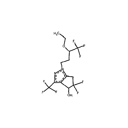 CCOC(CCn1nc(C(F)(F)F)c2c1CC(F)(F)C2O)C(F)(F)F